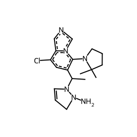 CC(c1cc(Cl)c2cncn2c1N1CCCC1(C)C)N1C=CCN1N